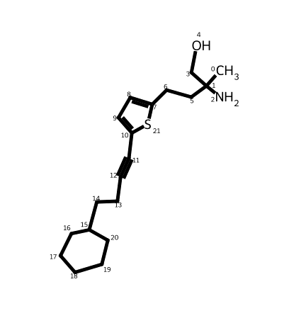 CC(N)(CO)CCc1ccc(C#CCCC2CCCCC2)s1